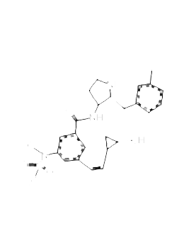 C[C@H]1CC1/C=C\c1cc(C(=O)NC2CCN[C@H]2Cc2cccc(Cl)c2)cc(N(C)S(C)(=O)=O)c1